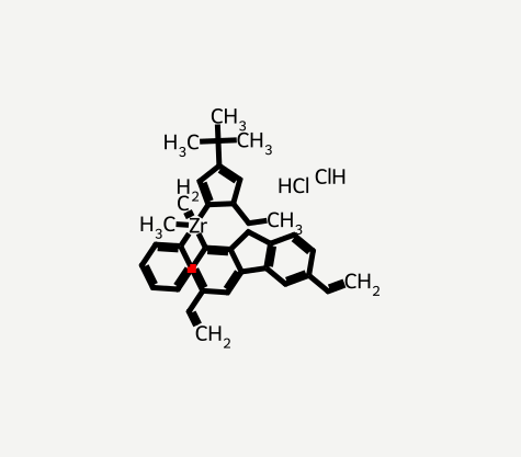 C=Cc1ccc2c(c1)-c1cc(C=C)c[c]([Zr](=[CH2])([CH3])([C]3=CC(C(C)(C)C)=CC3CC)[c]3ccccc3)c1C2.Cl.Cl